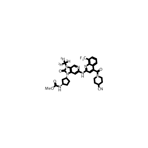 [2H]C([2H])([2H])n1c(=O)n([C@@H]2CC[C@@H](NC(=O)OC)C2)c2cc(Nc3cc(C(=O)N4CCC(C#N)CC4)c4cccc(C(F)(F)F)c4n3)ncc21